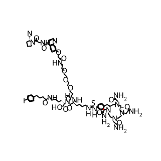 N#C[C@H]1CCCN1C(=O)CNC(=O)c1ccnc2cc(OCC(=O)NCCOCCOCCOCCC(=O)N[C@@H](CCCCNC(=S)Nc3ccc(CC4CN(CC(N)=O)CCN(CC(N)=O)CCN(CC(N)=O)CCN4CC(N)=O)cc3)C(=O)N[C@@H](CCCCNC(=O)CCCc3ccc(I)cc3)C(=O)O)ccc12